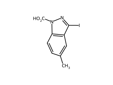 Cc1ccc2c(c1)c(I)nn2C(=O)O